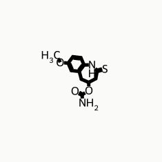 COc1ccc2c(c1)CC(OC(N)=O)CC(=S)N2